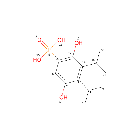 CC(C)c1c(O)cc(P(=O)(O)O)c(O)c1C(C)C